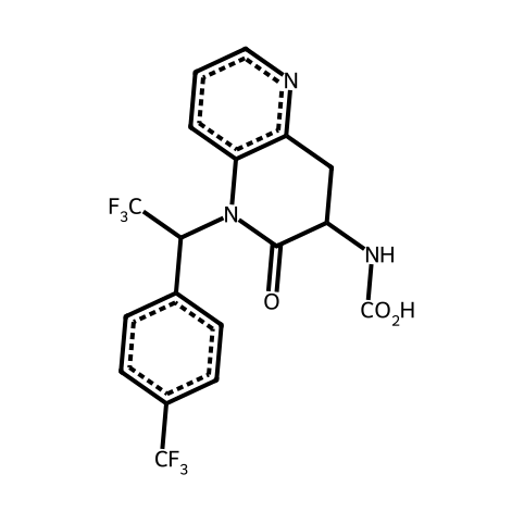 O=C(O)NC1Cc2ncccc2N(C(c2ccc(C(F)(F)F)cc2)C(F)(F)F)C1=O